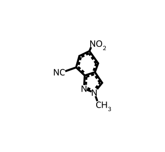 Cn1cc2cc([N+](=O)[O-])cc(C#N)c2n1